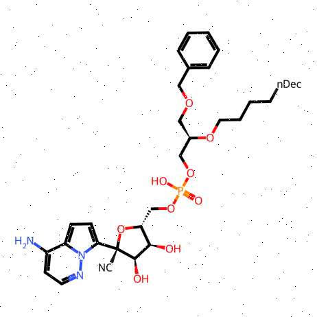 CCCCCCCCCCCCCCO[C@H](COCc1ccccc1)COP(=O)(O)OC[C@H]1O[C@@](C#N)(c2ccc3c(N)ccnn23)[C@H](O)[C@@H]1O